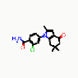 Cc1cc2c(n1-c1ccc(C(N)=O)c(Cl)c1)CC(C)(C)CC2=O